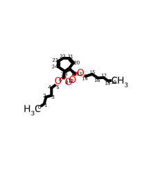 CCCCCCOC(=O)C1=C(C(=O)OCCCCCC)C=CCC=C1